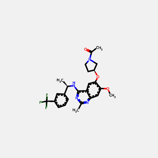 COc1cc2nc(C)nc(N[C@H](C)c3cccc(C(F)(F)F)c3)c2cc1O[C@H]1CCN(C(C)=O)C1